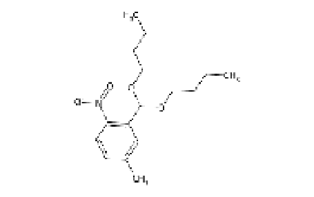 CCCCOC(OCCCC)c1cc(C)ccc1[N+](=O)[O-]